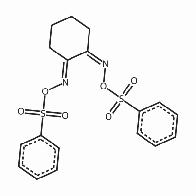 O=S(=O)(ON=C1CCCCC1=NOS(=O)(=O)c1ccccc1)c1ccccc1